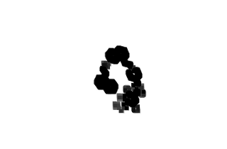 BrCCc1cccc2ccccc12.Nc1[nH]c(=O)c(C(=O)NCC2CCN(CCc3cccc4ccccc34)CC2)cc1Cl